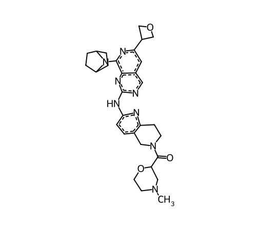 CN1CCOC(C(=O)N2CCc3nc(Nc4ncc5cc(C6COC6)nc(N6C7CCC6CC7)c5n4)ccc3C2)C1